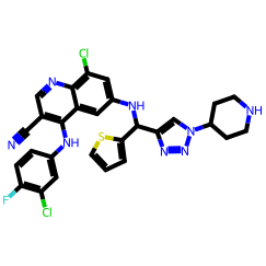 N#Cc1cnc2c(Cl)cc(NC(c3cn(C4CCNCC4)nn3)c3cccs3)cc2c1Nc1ccc(F)c(Cl)c1